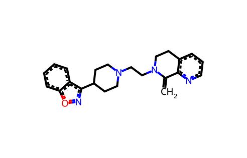 C=C1c2ncccc2CCN1CCN1CCC(c2noc3ccccc23)CC1